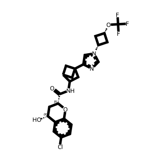 O=C(NC1CC2(c3cn([C@H]4C[C@@H](OC(F)(F)F)C4)cn3)CC1C2)[C@H]1C[C@@H](O)c2cc(Cl)ccc2O1